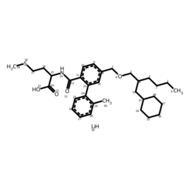 CCCCC(COCc1ccc(C(=O)NC(CCSC)C(=O)O)c(-c2ccccc2C)c1)CC1CCCCC1.[LiH]